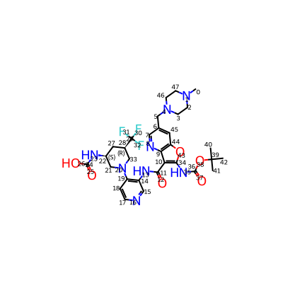 CN1CCN(Cc2cnc3c(C(=O)Nc4cnccc4N4C[C@@H](NC(=O)O)C[C@@H](C(F)(F)F)C4)c(NC(=O)OC(C)(C)C)oc3c2)CC1